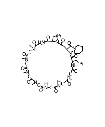 CC(C)CC1NC(=O)CN(C)C(=O)CNC(=O)CNC(=O)CN(C)C(=O)CN(C)C(=O)CN(C)C(=O)CN(C)C(=O)CNC(=O)C(CC(C)C)N(C)C(=O)CC(C(=O)N2CCCCC2)N(C)C1=O